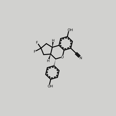 N#Cc1cc(O)cc2c1O[C@H](c1ccc(O)cc1)[C@@H]1CC(F)(F)C[C@H]21